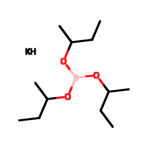 CCC(C)OB(OC(C)CC)OC(C)CC.[KH]